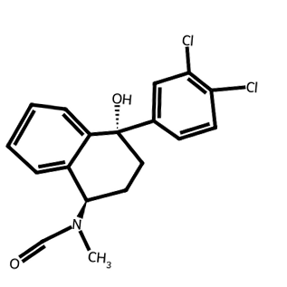 CN(C=O)[C@@H]1CC[C@](O)(c2ccc(Cl)c(Cl)c2)c2ccccc21